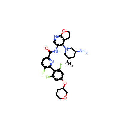 C[C@@H]1C[C@H](N)CN(c2c(NC(=O)c3ccc(F)c(-c4c(F)cc(OC5CCCOC5)cc4F)n3)cnc3c2CCO3)C1